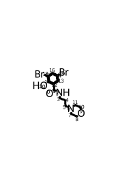 O=C(NCCCN1CCOCC1)c1cc(Br)cc(Br)c1O